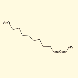 CCCC=C=CCCCCCCCCOC(C)=O